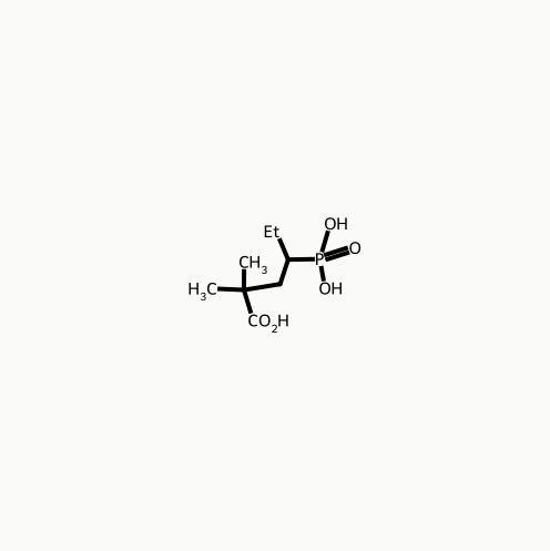 CCC(CC(C)(C)C(=O)O)P(=O)(O)O